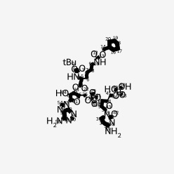 CC(C)(C)OC(=O)N[C@@H](CCCCNC(=O)OCc1ccccc1)C(=O)O[C@@H]1[C@@H](COP(=O)(O)O[C@H]2C[C@H](n3ccc(N)nc3=O)O[C@@H]2COP(=O)(O)O)OC(n2cnc3c(N)ncnc32)[C@@H]1O